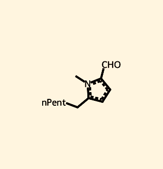 CCCCCCc1ccc(C=O)n1C